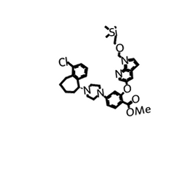 COC(=O)c1ccc(N2CCN([C@@H]3CCCCc4c(Cl)cccc43)CC2)cc1Oc1cnc2c(ccn2COCC[Si](C)(C)C)c1